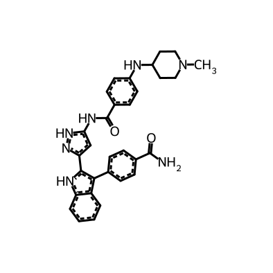 CN1CCC(Nc2ccc(C(=O)Nc3cc(-c4[nH]c5ccccc5c4-c4ccc(C(N)=O)cc4)n[nH]3)cc2)CC1